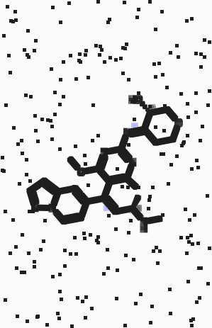 CN[C@H](C)/C=C(/c1ccn2nccc2c1)c1c(C)nc(/N=C2\CCOC[C@H]2O)nc1OC